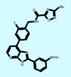 CC(=O)Nc1cccc(-c2nc3c(-c4ccc(CNC(=O)c5nc(C(C)(C)C)no5)c(F)c4)ccnc3[nH]2)c1